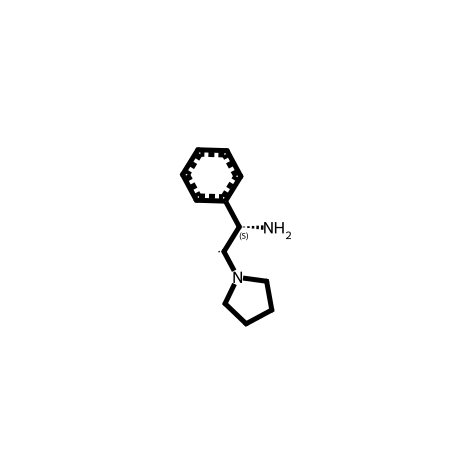 N[C@H]([CH]N1CCCC1)c1ccccc1